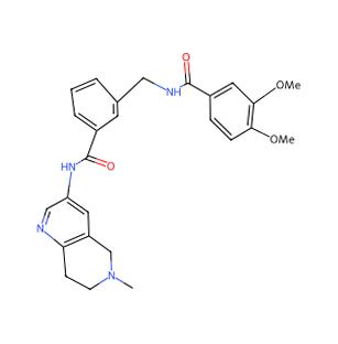 COc1ccc(C(=O)NCc2cccc(C(=O)Nc3cnc4c(c3)CN(C)CC4)c2)cc1OC